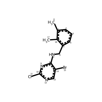 Cc1cccc(CNc2nc(Cl)ncc2Br)c1C